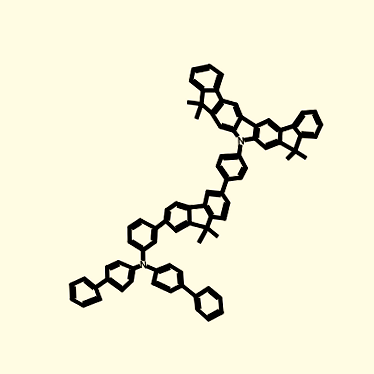 CC1(C)c2ccc(-c3ccc(-n4c5cc6c(cc5c5cc7c(cc54)C(C)(C)c4ccccc4-7)-c4ccccc4C6(C)C)cc3)cc2-c2ccc(-c3cccc(N(c4ccc(-c5ccccc5)cc4)c4ccc(-c5ccccc5)cc4)c3)cc21